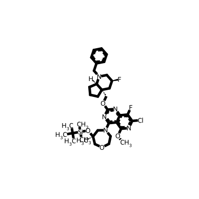 COc1nc(Cl)c(F)c2nc(OC[C@]34CCC[C@H]3N(Cc3ccccc3)C[C@@H](F)C4)nc(N3CCOC[C@@](C)(O[Si](C)(C)C(C)(C)C)C3)c12